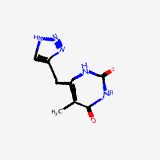 Cc1c(Cc2c[nH]nn2)[nH]c(=O)[nH]c1=O